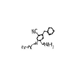 CCN(C)C=Nc1cc(C#N)c(Cc2ccccc2)cc1CN